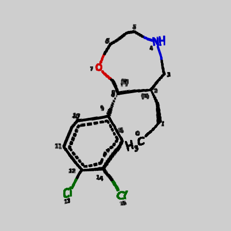 CC[C@@H]1CNCCO[C@H]1c1ccc(Cl)c(Cl)c1